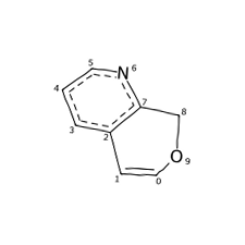 C1=Cc2cccnc2CO1